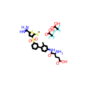 CSc1sc(C(=N)N)cc1S(=O)(=O)c1cccc(-c2ccc(NC(=O)C(N)CCC(=O)O)cc2C)c1.O=C(O)C(F)(F)F.O=C(O)C(F)(F)F